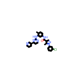 Cc1ccc(NC(=O)c2cnn(-c3cccc(Cl)c3)c2C)cc1Nc1nccc(-c2cccnc2)n1